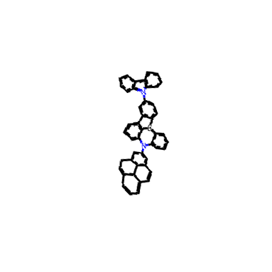 C1=CC2=CCc3cc(N4c5ccccc5B5c6ccc(-n7c8ccccc8c8ccccc87)cc6-c6cccc4c65)cc4c3C2C(=C1)C=C4